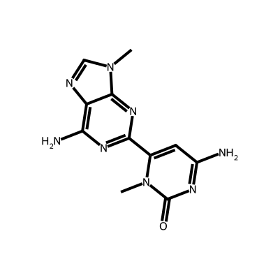 Cn1c(-c2nc(N)c3ncn(C)c3n2)cc(N)nc1=O